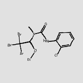 CCOC(N(C)C(=O)Nc1ccccc1Cl)C(Br)(Br)Br